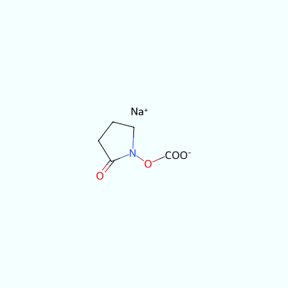 O=C([O-])ON1CCCC1=O.[Na+]